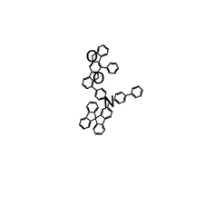 c1ccc(-c2ccc(N(c3ccc(-c4cccc5c4oc4c(-c6ccccc6)c6c(cc45)oc4ccccc46)cc3)c3ccc4c(c3)C3(c5ccccc5-c5ccccc53)c3ccccc3-4)cc2)cc1